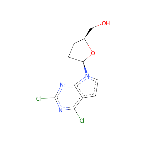 OC[C@@H]1CC[C@H](n2ccc3c(Cl)nc(Cl)nc32)O1